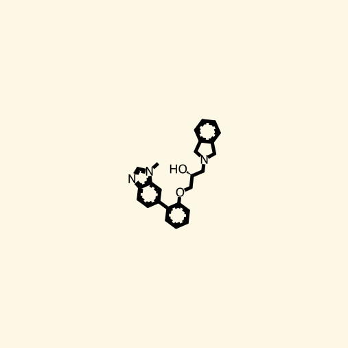 Cn1cnc2ccc(-c3ccccc3OC[C@H](O)CN3Cc4ccccc4C3)cc21